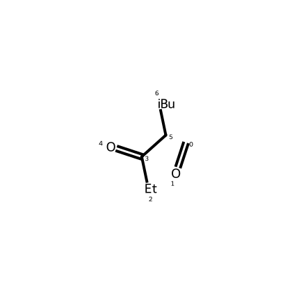 C=O.CCC(=O)CC(C)CC